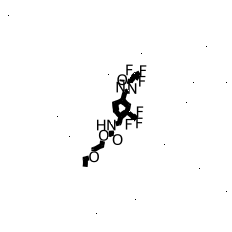 CCOCCOC(=O)NCc1ccc(-c2noc(C(F)(F)F)n2)cc1C(F)(F)F